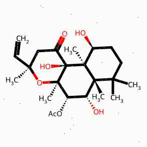 C=C[C@@]1(C)CC(=O)[C@]2(O)[C@@]3(C)[C@@H](O)CCC(C)(C)[C@]3(C)[C@H](O)[C@H](OC(C)=O)[C@@]2(C)O1